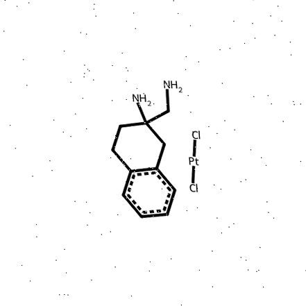 NCC1(N)CCc2ccccc2C1.[Cl][Pt][Cl]